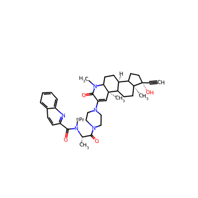 C#C[C@]1(O)CCC2[C@@H]3CCC4N(C)C(=O)C(N5CCN(C(=O)[C@H](C)N(CCC)C(=O)c6ccc7ccccc7n6)CC5)=C[C@]4(C)C3CC[C@@]21C